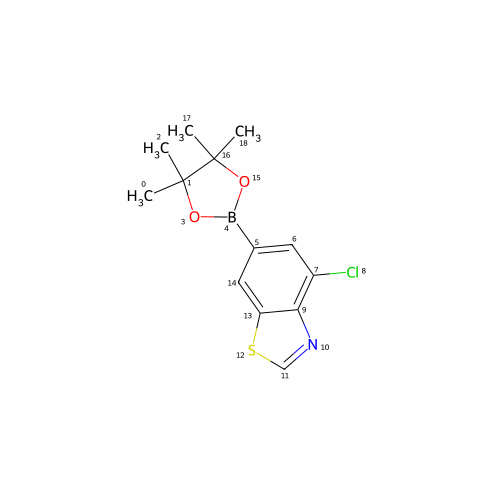 CC1(C)OB(c2cc(Cl)c3ncsc3c2)OC1(C)C